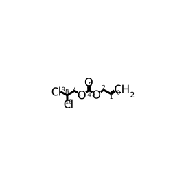 C=CCOC(=O)OCC(Cl)Cl